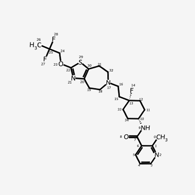 Cc1ncccc1C(=O)N[C@H]1CC[C@](F)(CCN2CCc3nc(OCC(C)(F)F)sc3CC2)CC1